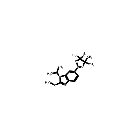 COc1nc2ccc(B3OC(C)(C)C(C)(C)O3)cc2n1C(C)C